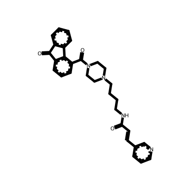 O=C(C=Cc1cccnc1)NCCCCN1CCN(C(=O)c2cccc3c2-c2ccccc2C3=O)CC1